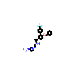 NC1CCN(CCN[C@@H]2C[C@H]2c2ccc(OCc3ccccc3)c(-c3ccc(C(F)(F)F)cc3)c2)C1